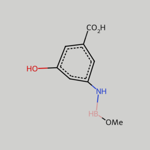 COBNc1cc(O)cc(C(=O)O)c1